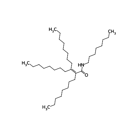 CCCCCCCCNC(=O)C(CCCCCCCC)=C(CCCCCCCC)CCCCCCCC